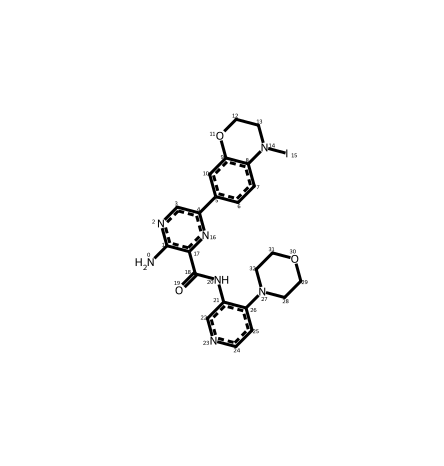 Nc1ncc(-c2ccc3c(c2)OCCN3I)nc1C(=O)Nc1cnccc1N1CCOCC1